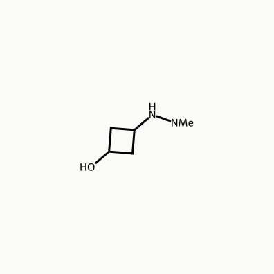 CNNC1CC(O)C1